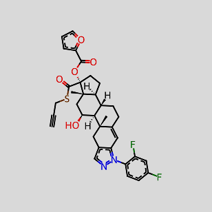 C#CCSC(=O)[C@@]1(OC(=O)c2ccco2)CC[C@H]2[C@@H]3CCC4=Cc5c(cnn5-c5ccc(F)cc5F)C[C@]4(C)[C@H]3[C@@H](O)C[C@@]21C